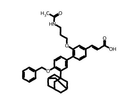 CC(=O)NCCCOc1cc(C=CC(=O)O)ccc1-c1ccc(OCc2ccccc2)c(C23CC4CC(CC(C4)C2)C3)c1